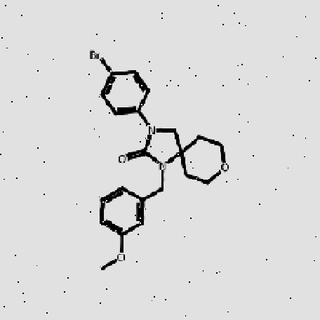 COc1cccc(CN2C(=O)N(c3ccc(Br)cc3)CC23CCOCC3)c1